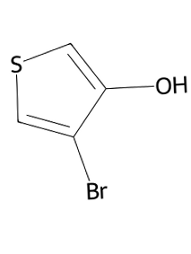 Oc1cscc1Br